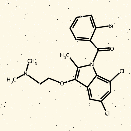 Cc1c(OCCN(C)C)c2cc(Cl)cc(Cl)c2n1C(=O)c1ccccc1Br